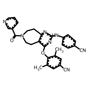 Cc1cc(C#N)cc(C)c1Oc1nc(Nc2ccc(C#N)cc2)nc2c1CCN(C(=O)c1cccnc1)CC2